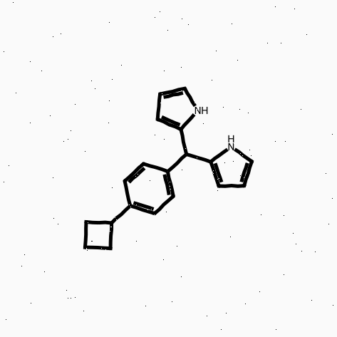 c1c[nH]c(C(c2ccc(C3CCC3)cc2)c2ccc[nH]2)c1